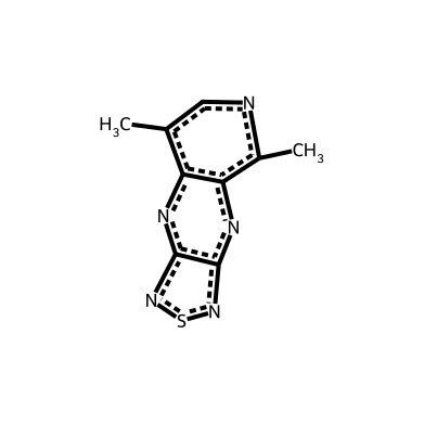 Cc1cnc(C)c2nc3nsnc3nc12